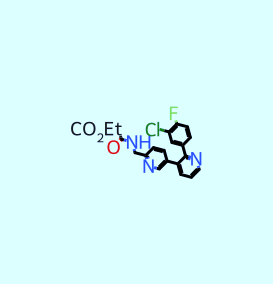 CCOC(=O)C(=O)NCc1ccc(-c2cccnc2-c2ccc(F)c(Cl)c2)cn1